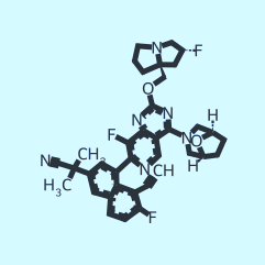 C#Cc1c(F)ccc2cc(C(C)(C)C#N)cc(-c3ncc4c(N5C[C@H]6CC[C@@H](C5)O6)nc(OC[C@@]56CCCN5C[C@H](F)C6)nc4c3F)c12